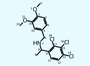 COc1ccc(CNC(C)c2ccc(Cl)c(Cl)c2Cl)cc1OC